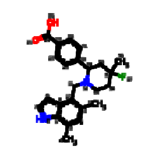 Cc1cc(C)c2[nH]ccc2c1CN1CCC(C)(F)CC1c1ccc(C(=O)O)cc1